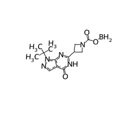 BOC(=O)N1CC(c2nc3c(cnn3C(C)(C)C)c(=O)[nH]2)C1